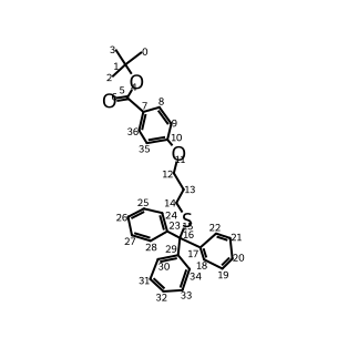 CC(C)(C)OC(=O)c1ccc(OCCCSC(c2ccccc2)(c2ccccc2)c2ccccc2)cc1